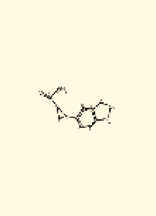 NC(=O)C1CC1c1ccc2c(c1)COO2